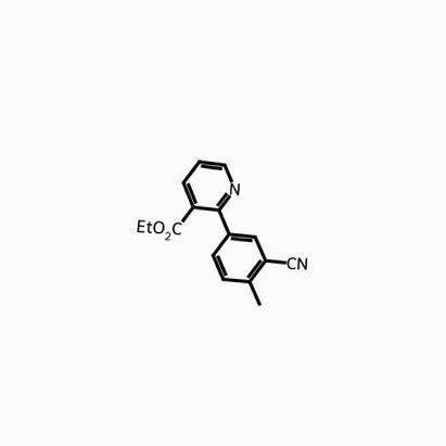 CCOC(=O)c1cccnc1-c1ccc(C)c(C#N)c1